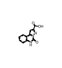 O=C(O)c1cc2c3ccccc3[nH]c(=O)n2n1